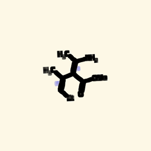 CC/C=C(C)\C(C(=O)OC)=C(/C)N